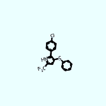 FC(F)(F)c1cc(Sc2ccccc2)c(-c2ccc(Cl)cc2)[nH]1